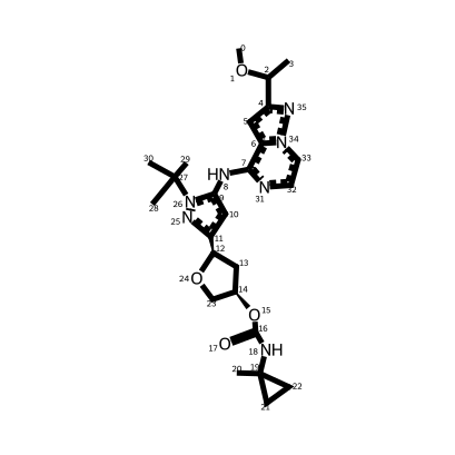 COC(C)c1cc2c(Nc3cc([C@H]4C[C@@H](OC(=O)NC5(C)CC5)CO4)nn3C(C)(C)C)nccn2n1